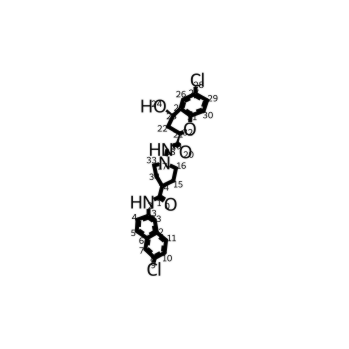 O=C(Nc1ccc2cc(Cl)ccc2c1)C1CCN(NC(=O)[C@H]2C[C@@H](O)c3cc(Cl)ccc3O2)CC1